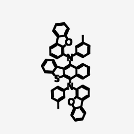 Cc1cccc(N(c2cccc3c2oc2ccccc23)c2c3ccccc3c(N(c3cccc(C)c3)c3cccc4c3oc3ccccc34)c3c2sc2ccccc23)c1